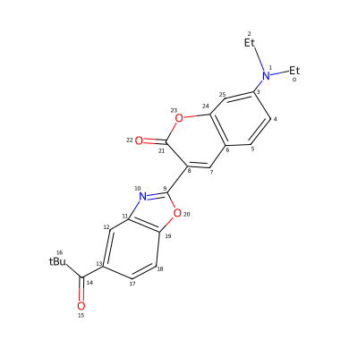 CCN(CC)c1ccc2cc(-c3nc4cc(C(=O)C(C)(C)C)ccc4o3)c(=O)oc2c1